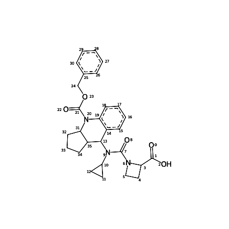 O=C(O)C1CCN1C(=O)N(C1CC1)C1c2ccccc2N(C(=O)OCc2ccccc2)C2CCCC21